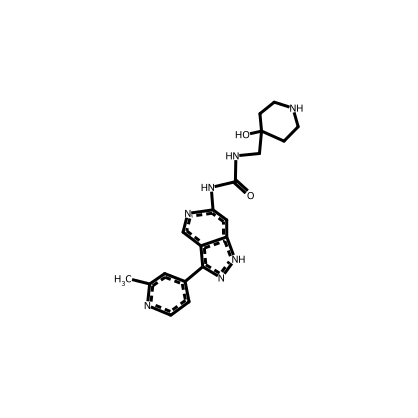 Cc1cc(-c2n[nH]c3cc(NC(=O)NCC4(O)CCNCC4)ncc23)ccn1